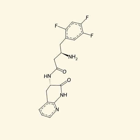 N[C@@H](CC(=O)N[C@H]1Cc2cccnc2NC1=O)Cc1cc(F)c(F)cc1F